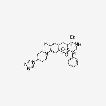 CC[C@@H]1NC[C@@H](c2ccccc2)S(=O)(=O)C1Cc1cc(F)c(N2CCC(n3cnnc3)CC2)cc1F